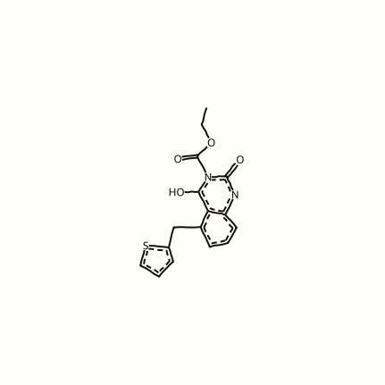 CCOC(=O)n1c(O)c2c(Cc3cccs3)cccc2nc1=O